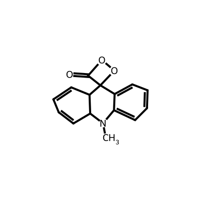 CN1c2ccccc2C2(OOC2=O)C2C=CC=CC21